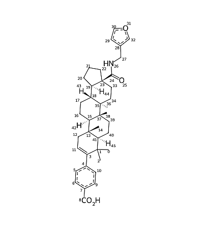 CC1(C)C(c2ccc(C(=O)O)cc2)=CC[C@]2(C)[C@H]3CC[C@@H]4[C@H]5CCC[C@]5(C(=O)NCc5ccoc5)CC[C@@]4(C)[C@]3(C)CC[C@@H]12